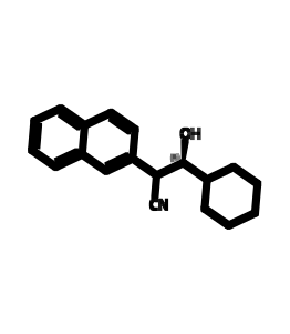 N#CC(c1ccc2ccccc2c1)[C@@H](O)C1CCCCC1